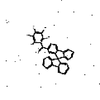 O=C(c1ccc2c(c1)C1(c3ccccc3-c3ccccc31)c1ccccc1-2)c1c(F)c(F)c(F)c(F)c1F